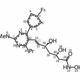 CNc1nc(-c2ccc(F)cc2)c(/C=C/[C@@H](O)C[C@@H](O)CC(=O)NO)c(C(C)C)n1